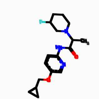 CC(C(=O)Nc1ccc(OCC2CC2)cn1)N1CCCC(F)C1